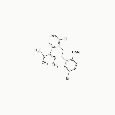 C/N=C(/c1cccc(Cl)c1CCc1cc(Br)ccc1OC)N(C)C